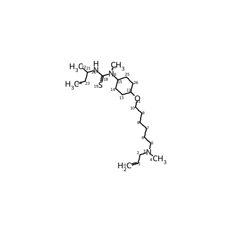 C=CCN(C)CCCCCCOC1CCC(N(C)C(=S)NC(C)CC)CC1